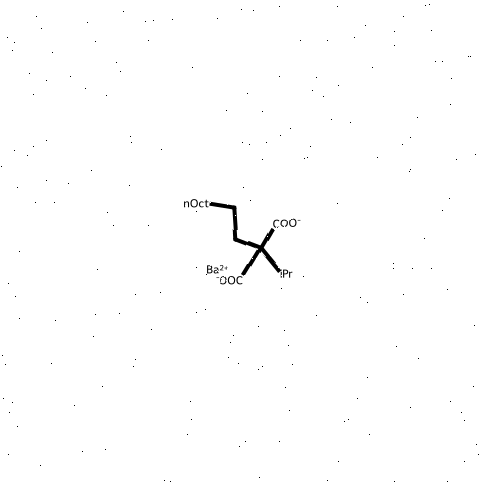 CCCCCCCCCCC(C(=O)[O-])(C(=O)[O-])C(C)C.[Ba+2]